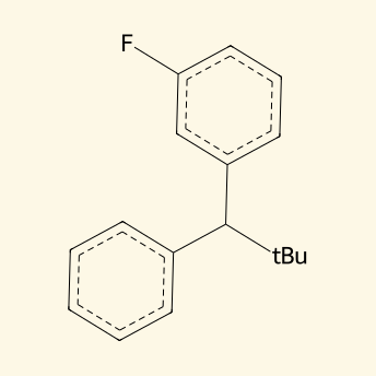 CC(C)(C)C(c1ccccc1)c1cccc(F)c1